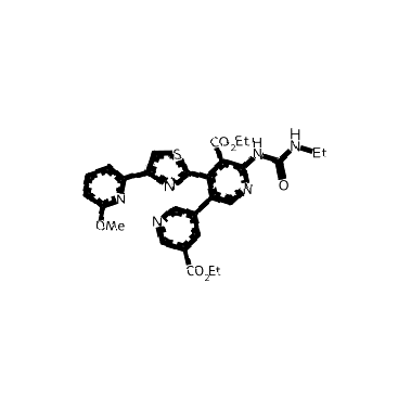 CCNC(=O)Nc1ncc(-c2cncc(C(=O)OCC)c2)c(-c2nc(-c3cccc(OC)n3)cs2)c1C(=O)OCC